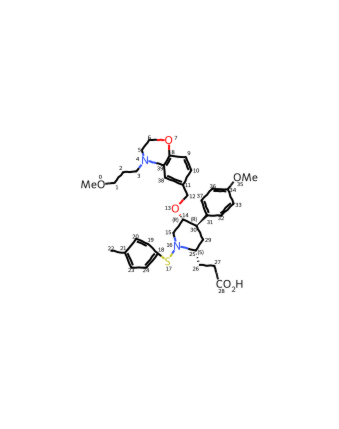 COCCCN1CCOc2ccc(CO[C@H]3CN(Sc4ccc(C)cc4)[C@@H](CCC(=O)O)C[C@@H]3c3ccc(OC)cc3)cc21